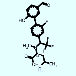 CC(C)C[C@@H](C(=O)O)N(C)C(c1ccc(-c2cc(C=O)ccc2O)c(F)c1)C(F)(F)F